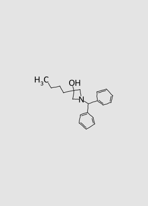 CCCCC1(O)CN(C(c2ccccc2)c2ccccc2)C1